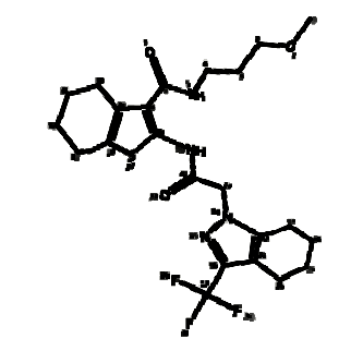 COCCCNC(=O)c1c(NC(=O)Cn2nc(C(F)(F)F)c3c2CCCC3)sc2c1CCCC2